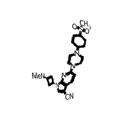 CN[C@H]1C[C@H](n2cc(C#N)c3ccc(N4CCN(C5CCC(S(C)(=O)=O)CC5)CC4)nc32)C1